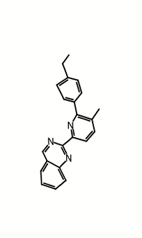 CCc1ccc(-c2nc(-c3ncc4ccccc4n3)ccc2C)cc1